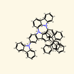 c1ccc(-c2ccc(-n3c4ccccc4c4cccc(-n5c6ccc(-n7c8ccccc8c8ccccc87)cc6c6cc([Si](c7ccccc7)(c7ccccc7)c7ccccc7)ccc65)c43)cc2)cc1